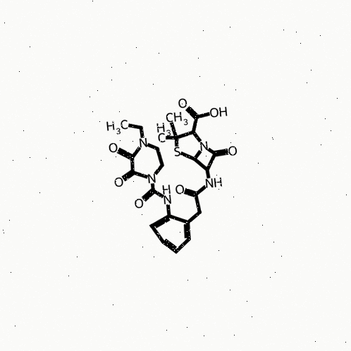 CCN1CCN(C(=O)Nc2ccccc2CC(=O)NC2C(=O)N3C2SC(C)(C)C3C(=O)O)C(=O)C1=O